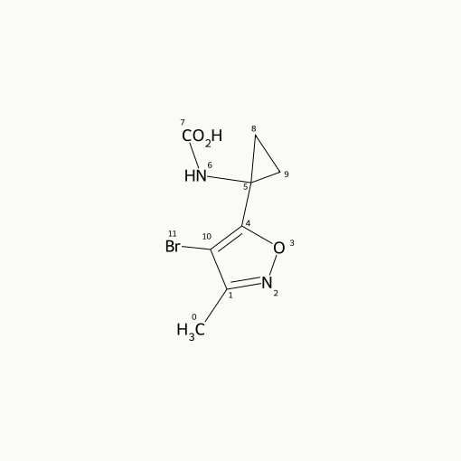 Cc1noc(C2(NC(=O)O)CC2)c1Br